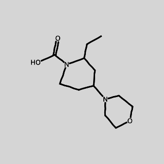 CCC1CC(N2CCOCC2)CCN1C(=O)O